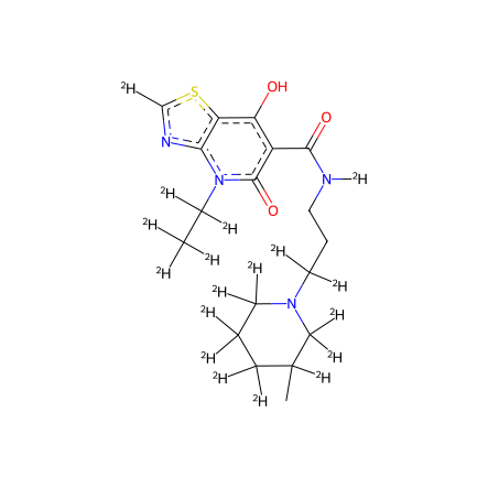 [2H]c1nc2c(s1)c(O)c(C(=O)N([2H])CCC([2H])([2H])N1C([2H])([2H])C([2H])([2H])C([2H])([2H])C([2H])(C)C1([2H])[2H])c(=O)n2C([2H])([2H])C([2H])([2H])[2H]